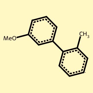 COc1cccc(-c2cc[c]cc2C)c1